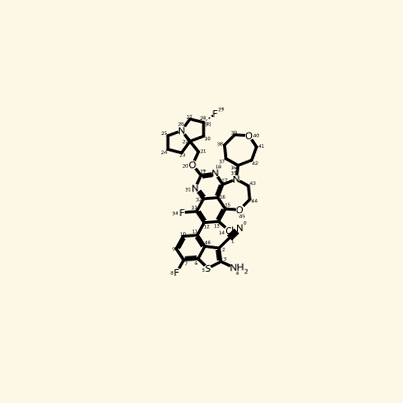 N#Cc1c(N)sc2c(F)ccc(-c3c(Cl)c4c5c(nc(OCC67CCCN6C[C@H](F)C7)nc5c3F)N(C3CCCOCC3)CCO4)c12